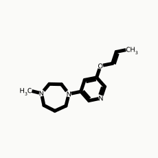 C/C=C/Oc1cncc(N2CCCN(C)CC2)c1